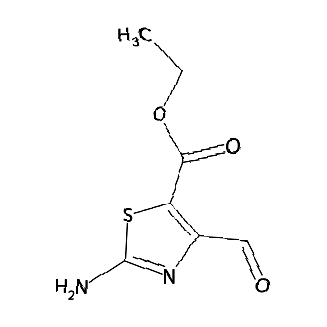 CCOC(=O)c1sc(N)nc1C=O